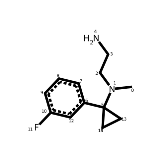 CN(CCN)C1(c2cccc(F)c2)CC1